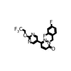 O=c1ccc(-c2cnc(OCC(F)(F)F)nc2)nn1Cc1ccc(F)cc1F